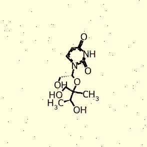 C[C@H](O)C(C)(CO)O[C@H](CO)n1ccc(=O)[nH]c1=O